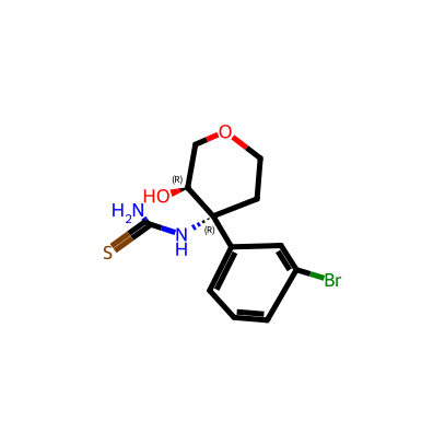 NC(=S)N[C@@]1(c2cccc(Br)c2)CCOC[C@@H]1O